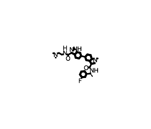 C[C@H](NC(=O)c1cn(C)c2ccc(-c3ccc4c(C(=O)NCCN(C)C)n[nH]c4c3)cc12)c1cccc(F)c1